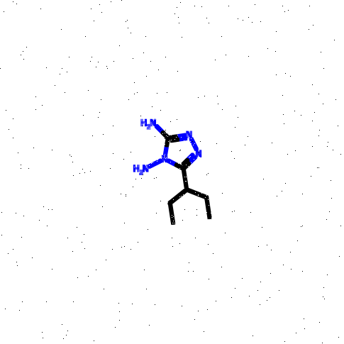 CCC(CC)c1nnc(N)n1N